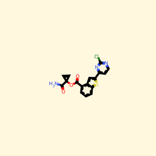 NC(=O)C1(OC(=O)c2cccc3sc(-c4ccnc(Cl)n4)cc23)C=C1